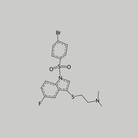 CN(C)CCSc1cn(S(=O)(=O)c2ccc(Br)cc2)c2ccc(F)cc12